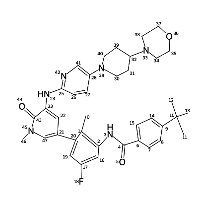 Cc1c(NC(=O)c2ccc(C(C)(C)C)cc2)cc(F)cc1-c1cc(Nc2ccc(N3CCC(N4CCOCC4)CC3)cn2)c(=O)n(C)c1